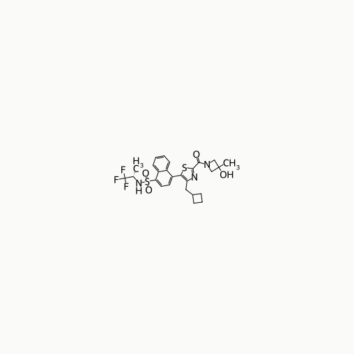 C[C@H](NS(=O)(=O)c1ccc(-c2sc(C(=O)N3CC(C)(O)C3)nc2CC2CCC2)c2ccccc12)C(F)(F)F